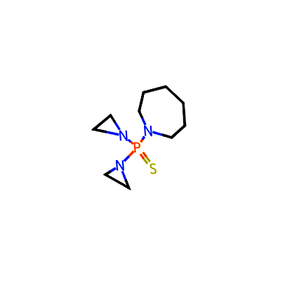 S=P(N1CCCCCC1)(N1CC1)N1CC1